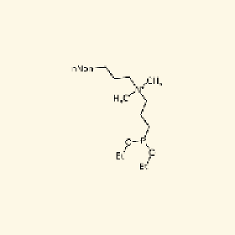 CCCCCCCCCCCC[N+](C)(C)CCCP(OCC)OCC